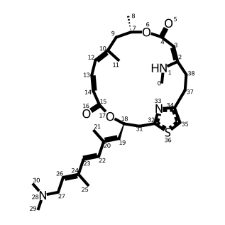 CN/C1=C\C(=O)O[C@@H](C)C/C(C)=C/C=C\C(=O)O[C@H](/C=C(C)/C=C/C(C)=C/CN(C)C)Cc2nc(cs2)CC1